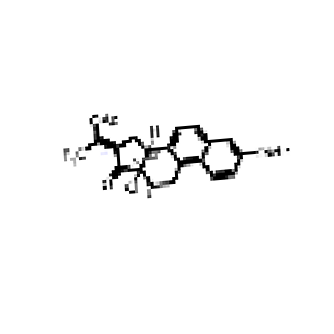 COc1ccc2c3c(ccc2c1)[C@@H]1C/C(=C(\OC(C)=O)C(F)(F)F)C(=O)[C@@]1(C)CC3